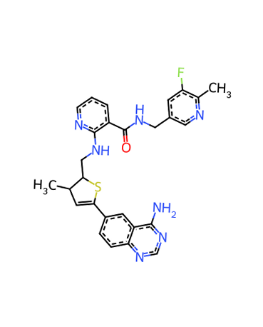 Cc1ncc(CNC(=O)c2cccnc2NCC2SC(c3ccc4ncnc(N)c4c3)=CC2C)cc1F